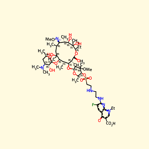 CC[C@H]1OC(=O)[C@H](C)[C@@H](O[C@H]2C[C@@](C)(OC)[C@@H](OS(=O)(=O)CCNCCNc3nc4c(cc3F)c(=O)c(C(=O)O)cn4CC)[C@H](C)O2)[C@H](C)[C@@H](O[C@@H]2O[C@H](C)C[C@H](N(C)C)[C@H]2O)[C@](C)(O)C[C@@H](C)/C(=N\OC)[C@H](C)[C@@H](O)[C@]1(C)O